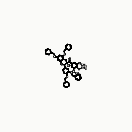 COc1cc(C(=O)C2(O)Cc3c(OCc4ccccc4)cc(OCc4ccccc4)cc3OC2c2ccc(OCc3ccccc3)c(OCc3ccccc3)c2)cc(OC)c1OC